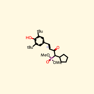 COP(=O)(OC)C(C(=O)/C=C/c1cc(C(C)(C)C)c(O)c(C(C)(C)C)c1)C1CCCC1